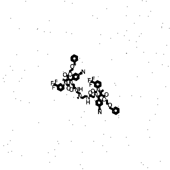 CC1=C(C(=O)OCCOCc2ccccc2)C(c2ccc(C#N)cc2)N(CC(=O)NCCN(C)CCNC(=O)CN2C(=O)N(c3cccc(C(F)(F)F)c3)C(C)=C(C(=O)OCCOCc3ccccc3)C2c2ccc(C#N)cc2)C(=O)N1c1cccc(C(F)(F)F)c1